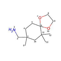 CC1(CN)CCC2(OCCO2)C(C)(C)C1